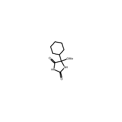 COC1(C2CCCCC2)NC(=O)NC1=O